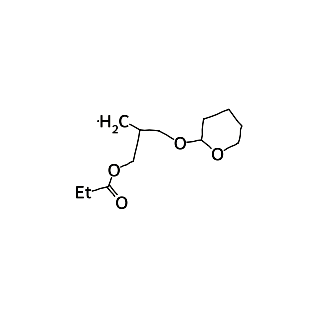 [CH2]C(COC(=O)CC)COC1CCCCO1